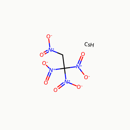 O=[N+]([O-])CC([N+](=O)[O-])([N+](=O)[O-])[N+](=O)[O-].[CsH]